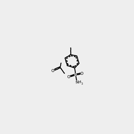 CC(C)=O.Cc1ccc(S(N)(=O)=O)cc1